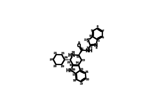 O=C(Nc1nc2ccccc2s1)[C@H]1Cc2c([nH]c3ccccc23)[C@H](C2CCCCC2)N1